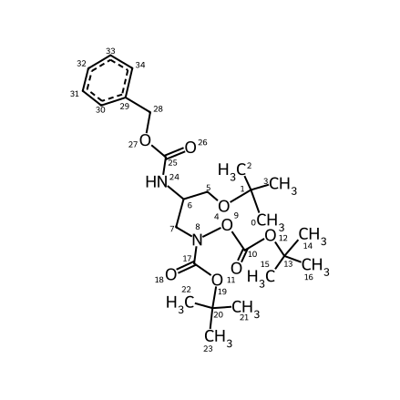 CC(C)(C)OCC(CN(OC(=O)OC(C)(C)C)C(=O)OC(C)(C)C)NC(=O)OCc1ccccc1